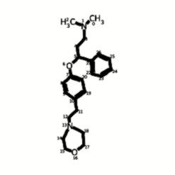 CN(C)CCC(Oc1ccc(CCN2CCOCC2)cc1)c1ccccc1